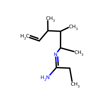 C=CC(C)C(C)C(C)/N=C(/N)CC